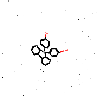 Oc1ccc([Si]2(c3ccc(O)cc3)c3ccccc3-c3ccccc32)cc1